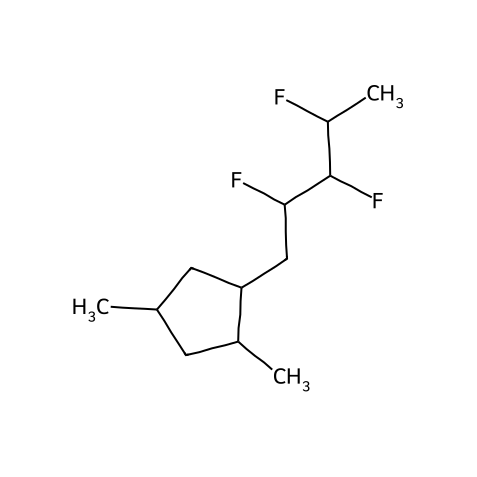 CC1CC(C)C(CC(F)C(F)C(C)F)C1